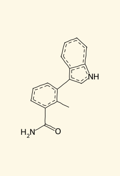 Cc1c(C(N)=O)cccc1-c1c[nH]c2ccccc12